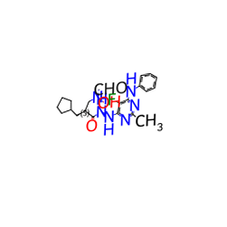 Cc1nc(NNC(=O)[C@@H](CC2CCCC2)CN(O)C=O)c(F)c(Nc2ccccc2)n1